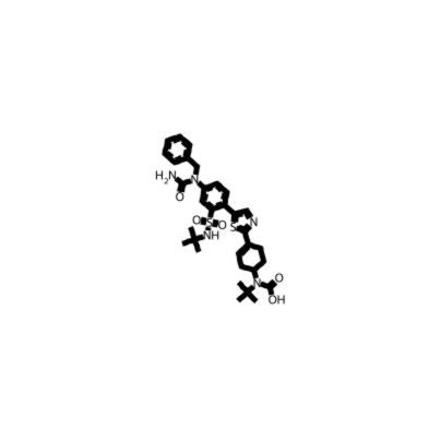 CC(C)(C)NS(=O)(=O)c1cc(N(Cc2ccccc2)C(N)=O)ccc1-c1cnc(C2=CCC(N(C(=O)O)C(C)(C)C)CC2)s1